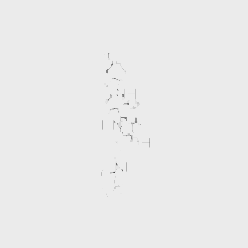 CC(C)(C)OC(=O)NCCC[C@H](NC(=O)c1ccc(Cc2cccc(I)c2)[nH]c1=O)C(=O)O